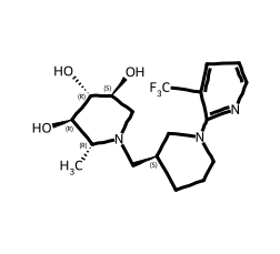 C[C@@H]1[C@@H](O)[C@H](O)[C@@H](O)CN1C[C@@H]1CCCN(c2ncccc2C(F)(F)F)C1